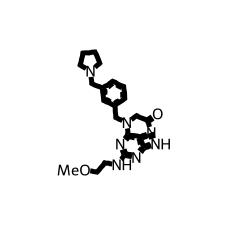 COCCNc1nc2c3c(n1)[nH]n3C(=O)CN2Cc1cccc(CN2CCCC2)c1